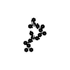 Cc1ccc(-c2cc(-c3ccc(-n4c5ccccc5c5cc(N(c6ccccc6)c6ccccc6)ccc54)cc3C)nc(-c3ccc(C)c(-c4ccc(N(c5ccccc5)c5ccc6c(c5)c5ccccc5n6-c5cc(C)c(-c6cc(-c7ccccc7C)nc(-c7ccccc7C)n6)cc5C)cc4)c3)n2)cc1